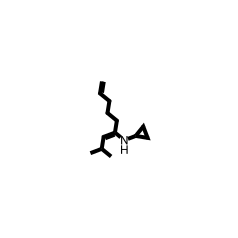 C=CCCC/C(=C/C(C)C)NC1CC1